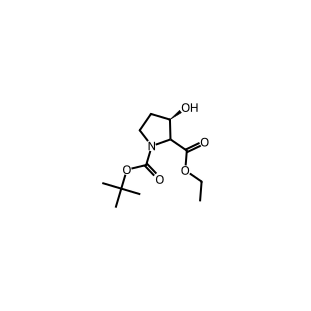 CCOC(=O)C1[C@H](O)CCN1C(=O)OC(C)(C)C